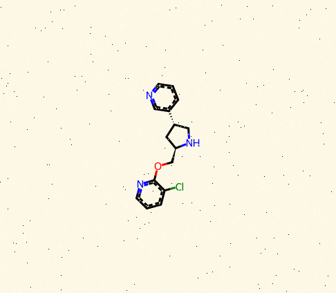 Clc1cccnc1OC[C@H]1C[C@H](c2cccnc2)CN1